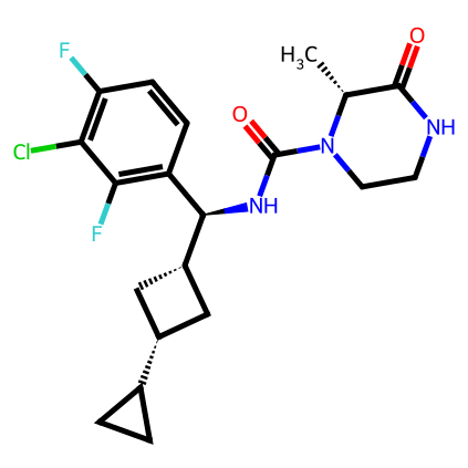 C[C@@H]1C(=O)NCCN1C(=O)N[C@H](c1ccc(F)c(Cl)c1F)[C@H]1C[C@@H](C2CC2)C1